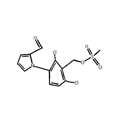 CS(=O)(=O)OCc1c(Cl)ccc(-n2cccc2C=O)c1Cl